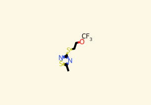 Cc1nc(SCCOC(F)(F)F)ns1